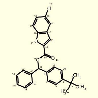 CC(C)(C)c1ccc(C(OC(=O)c2cc3cc(Cl)ccc3o2)c2ccccc2)cc1